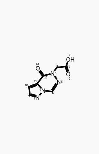 O=C(O)Cn1ncn2nccc2c1=O